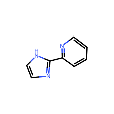 [c]1cccc(-c2ncc[nH]2)n1